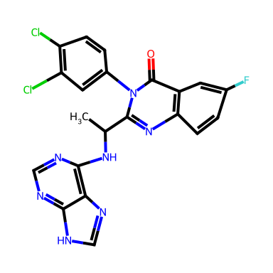 CC(Nc1ncnc2[nH]cnc12)c1nc2ccc(F)cc2c(=O)n1-c1ccc(Cl)c(Cl)c1